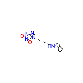 Cn1c(=O)c2c(ncn2CCCCCCCCNC2CCc3ccccc32)n(C)c1=O